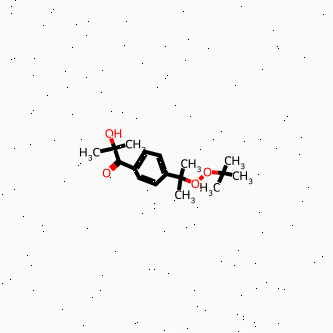 CC(C)(C)OOC(C)(C)c1ccc(C(=O)C(C)(C)O)cc1